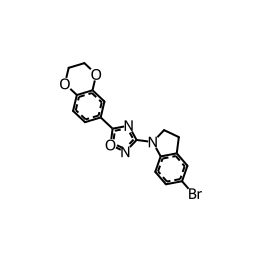 Brc1ccc2c(c1)CCN2c1noc(-c2ccc3c(c2)OCCO3)n1